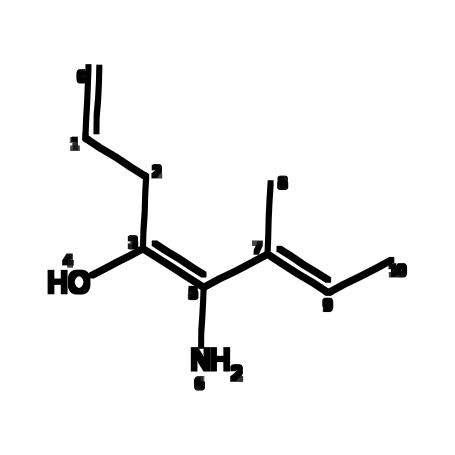 C=CC/C(O)=C(N)\C(C)=C\C